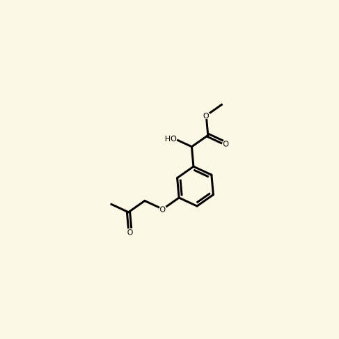 COC(=O)C(O)c1cccc(OCC(C)=O)c1